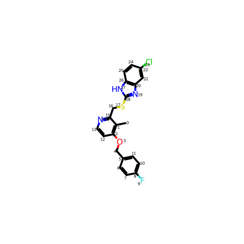 Cc1c(OCc2ccc(F)cc2)ccnc1CSc1nc2cc(Cl)ccc2[nH]1